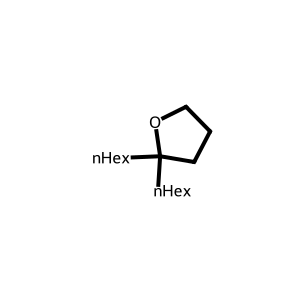 CCCCCCC1(CCCCCC)CCCO1